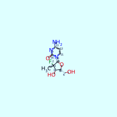 C[C@]1(F)C(O)[C@@H](CO)O[C@H]1n1ccc(N)nc1=O